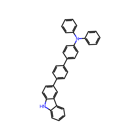 c1ccc(N(c2ccccc2)c2ccc(-c3ccc(-c4ccc5[nH]c6ccccc6c5c4)cc3)cc2)cc1